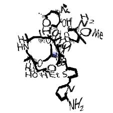 CC[C@H]1OC(=O)[C@H](C)[C@@H](O[C@H]2C[C@@](C)(OC)[C@H](N)[C@H](C)O2)[C@H](C)[C@@H](O[C@@H]2O[C@H](C)C[C@H](N(C)C)[C@H]2O)[C@@]2(C)C[C@@H](C)NC[C@H](C)[C@@H](OC/C(=N\OCc3ccc(-c4cccc(N)n4)s3)CO2)[C@]1(C)O